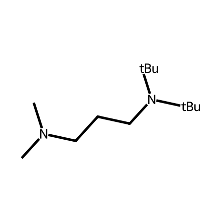 CN(C)CCCN(C(C)(C)C)C(C)(C)C